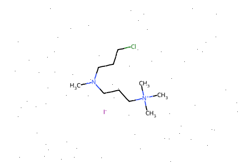 CN(CCCCl)CCC[N+](C)(C)C.[I-]